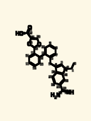 CCn1cc(Cc2ccccc2-c2ccccc2C2OC=C(C(=O)O)O2)c2ccc(C(=N)N)cc21